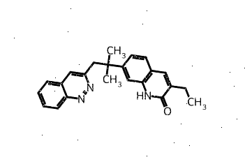 CCc1cc2ccc(C(C)(C)Cc3cc4ccccc4nn3)cc2[nH]c1=O